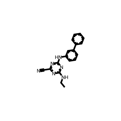 CCNc1nc(C#N)nc(Nc2cccc(-c3ccccc3)c2)n1